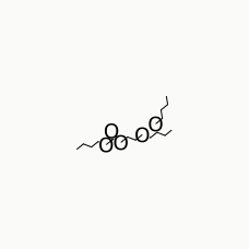 CCCCOC(=O)OCCOCC(CC)OCCCC